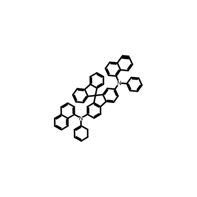 c1ccc2c(N(c3ccccc3)c3ccc4c(c3)C3(c5ccccc5-c5ccccc53)c3cc(N(C5=CC=CCC5)c5cccc6ccccc56)ccc3-4)cccc2c#1